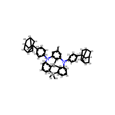 Cc1cc2c3c(c1)N(c1ccc(C45CC6CC(CC(C6)C4)C5)cc1)c1cccc4c1B3c1c(cccc1[Si]4(C)C)N2c1ccc(C23CC4CC(CC(C4)C2)C3)cc1